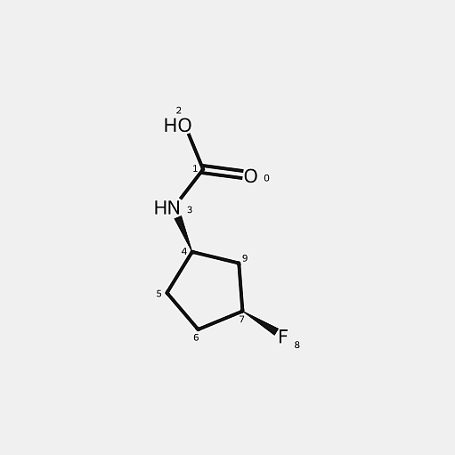 O=C(O)N[C@@H]1CC[C@H](F)C1